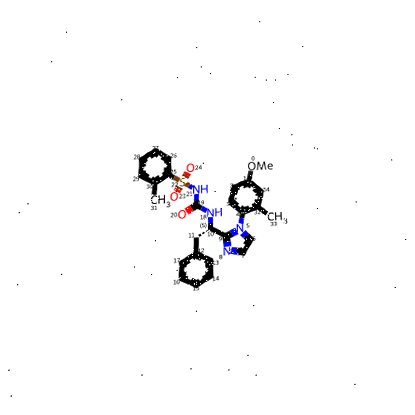 COc1ccc(-n2ccnc2[C@H](Cc2ccccc2)NC(=O)NS(=O)(=O)c2ccccc2C)c(C)c1